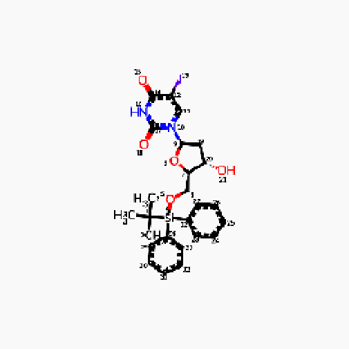 CC(C)(C)[Si](OC[C@H]1O[C@@H](n2cc(I)c(=O)[nH]c2=O)C[C@@H]1O)(c1ccccc1)c1ccccc1